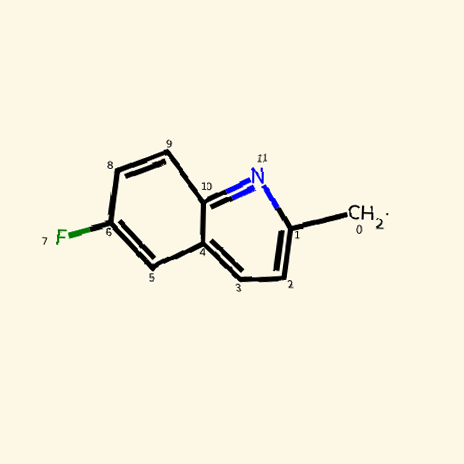 [CH2]c1ccc2cc(F)ccc2n1